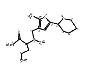 CNC(=O)C(CCC=O)N(C=O)Cc1cc(C2CCCCO2)sc1C